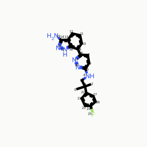 CC(C)(CNc1ccc(-c2cccc3c(N)n[nH]c23)nn1)c1ccc(F)cc1